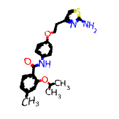 Cc1ccc(C(=O)Nc2ccc(OCCc3csc(N)n3)cc2)c(OC(C)C)c1